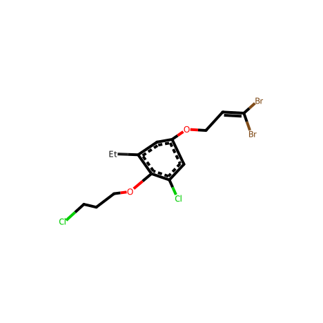 CCc1cc(OCC=C(Br)Br)cc(Cl)c1OCCCCl